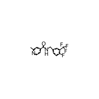 Cc1cc(C(=O)NCc2ccc(F)c(C(F)(F)F)c2)ccn1